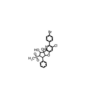 CS(=O)(=O)C1C(c2ccccc2)C2Oc3cc(Cl)c(-c4ccc(Br)cc4)nc3C2(O)C1O